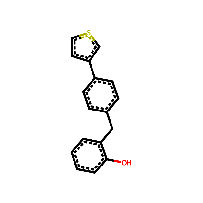 Oc1ccccc1Cc1ccc(-c2ccsc2)cc1